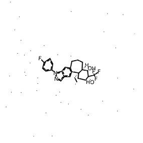 CC[C@@]12CC[C@](O)(C(F)(F)F)[C@@H](O)[C@@H]1CCCc1cc3c(cnn3-c3ccc(F)cc3)cc12